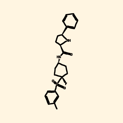 Cc1cccc(S(=O)(=O)[C@]2(F)CC[C@H](NC(=O)[C@H]3CC[C@@H](c4ccccc4)N3)CC2)c1